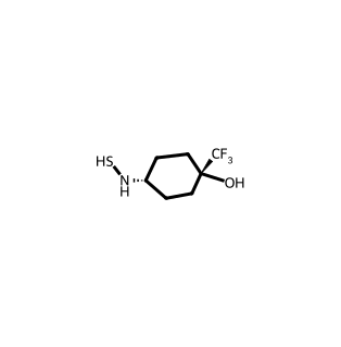 O[C@]1(C(F)(F)F)CC[C@H](NS)CC1